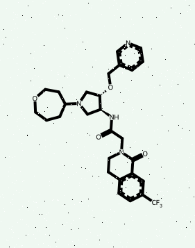 O=C(CN1CCc2ccc(C(F)(F)F)cc2C1=O)N[C@H]1CN(C2CCCOCC2)C[C@@H]1OCc1cccnc1